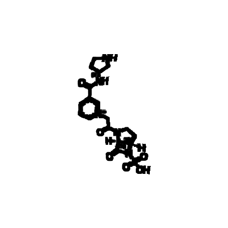 O=C(N[C@@H]1CCNC1)c1ccc[n+](CC(=O)N2CC[C@@H]3[C@H]2C(=O)N3S(=O)(=O)O)c1